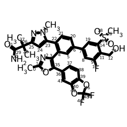 Cc1nc(-c2cc(-c3cc(F)c(CO)c(S(C)(=O)=O)c3)ccc2-c2cc(C(C)(C)C(N)=O)nn2C)c(-c2ccc3c(c2)OC(F)(F)O3)o1